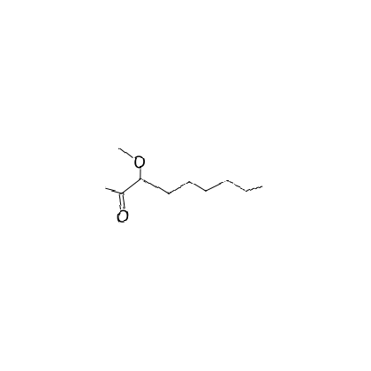 CCCCCCC(OC)C(C)=O